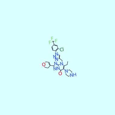 CCc1c(N2CCNCC2)c(=O)n2nc(C3=CCOCC3)nc2n1Cc1cn(-c2ccc(C(F)(F)F)cc2Cl)nn1